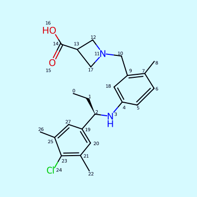 CC[C@@H](Nc1ccc(C)c(CN2CC(C(=O)O)C2)c1)c1cc(C)c(Cl)c(C)c1